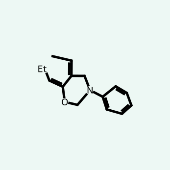 C/C=C1/CN(c2ccccc2)CO/C1=C/CC